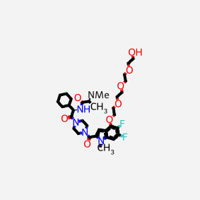 CN[C@@H](C)C(=O)N[C@H](C(=O)N1CCN(C(=O)c2cc3c(OCCOCCOCCOCCO)c(F)c(F)cc3n2C)CC1)C1CCCCC1